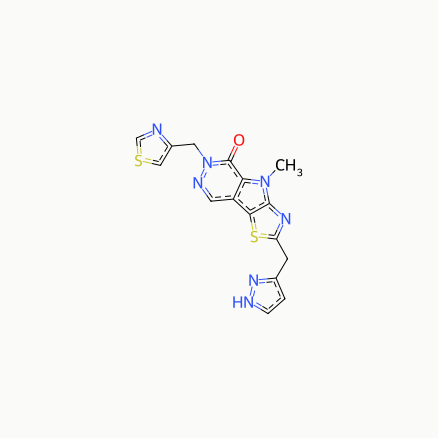 Cn1c2nc(Cc3cc[nH]n3)sc2c2cnn(Cc3cscn3)c(=O)c21